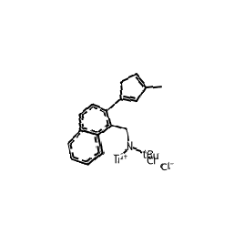 CC1=CCC(c2ccc3ccccc3c2C[N]([Ti+2])C(C)(C)C)=C1.[Cl-].[Cl-]